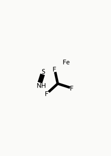 FC(F)F.N=S.[Fe]